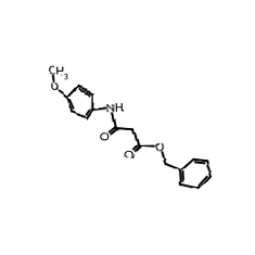 COc1ccc(NC(=O)CC(=O)OCc2ccccc2)cc1